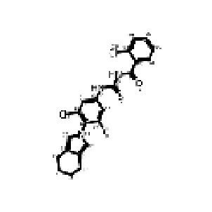 O=C(NC(=S)Nc1cc(Cl)c(-n2cc3c(c2)CCCC3)c(Cl)c1)c1ccccc1Cl